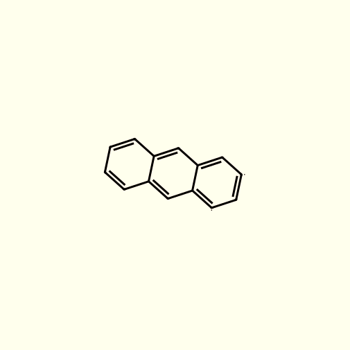 [c]1c[c]c2cc3ccccc3cc2c1